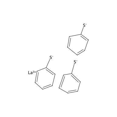 [La+3].[S-]c1ccccc1.[S-]c1ccccc1.[S-]c1ccccc1